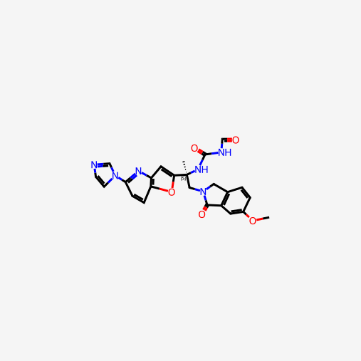 COc1ccc2c(c1)C(=O)N(C[C@](C)(NC(=O)NC=O)c1cc3nc(-n4ccnc4)ccc3o1)C2